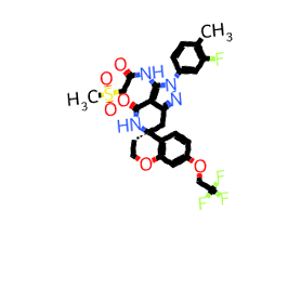 Cc1ccc(-n2nc3c(c2NC(=O)CS(C)(=O)=O)C(=O)N[C@@]2(CCOc4cc(OCC(F)(F)F)ccc42)C3)cc1F